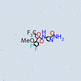 COc1c(C2CC(C(F)(F)F)OC2C(=O)Nc2ccnc(C(N)=O)c2)ccc(F)c1F